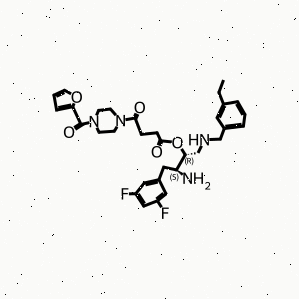 CCc1cccc(CNC[C@@H](OC(=O)CCC(=O)N2CCN(C(=O)c3ccco3)CC2)[C@@H](N)Cc2cc(F)cc(F)c2)c1